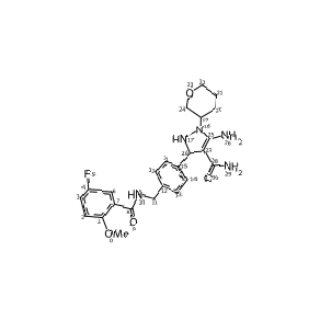 COc1ccc(F)cc1C(=O)NCc1ccc(C2NN(C3CCCOC3)C(N)=C2C(N)=O)cc1